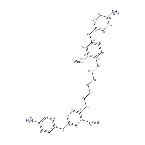 CCCCCc1cc(Cc2ccc(N)cc2)ccc1CCCCCCCc1ccc(Cc2ccc(N)cc2)cc1CCCCC